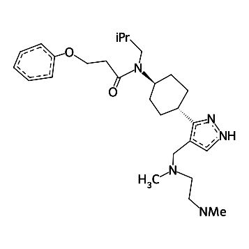 CNCCN(C)Cc1c[nH]nc1[C@H]1CC[C@H](N(CC(C)C)C(=O)CCOc2ccccc2)CC1